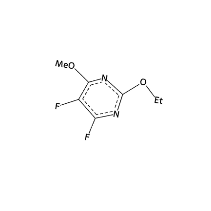 CCOc1nc(F)c(F)c(OC)n1